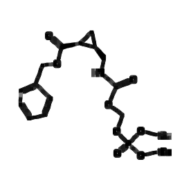 CC(C)(C)OP(=O)(OCOC(=O)NC[C@@H]1C[C@@H]1C(=O)OCc1ccccc1)OC(C)(C)C